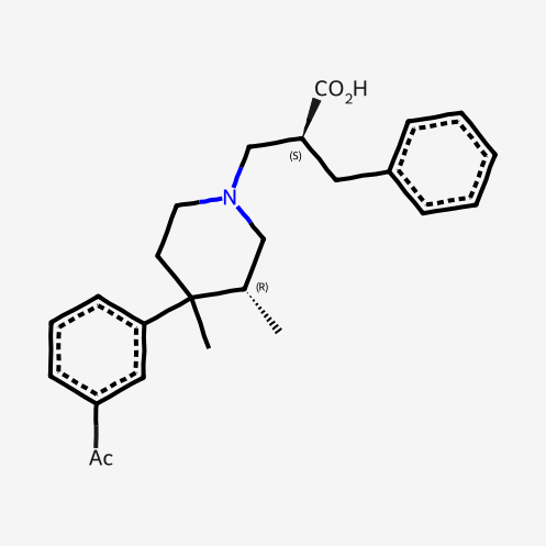 CC(=O)c1cccc(C2(C)CCN(C[C@H](Cc3ccccc3)C(=O)O)C[C@@H]2C)c1